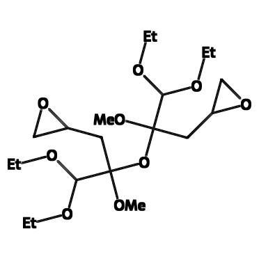 CCOC(OCC)C(CC1CO1)(OC)OC(CC1CO1)(OC)C(OCC)OCC